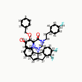 O=C1c2c(OCc3ccccc3)c(=O)ccn2N(C23C(=Cc4ccccc42)Cc2c3ccc(F)c2F)CN1CCc1ccc(F)cc1